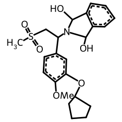 COc1ccc(C(CS(C)(=O)=O)N2C(O)c3ccccc3C2O)cc1OC1CCCC1